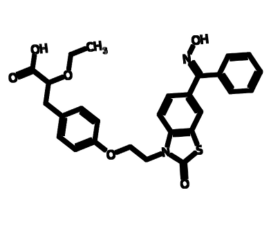 CCOC(Cc1ccc(OCCn2c(=O)sc3cc(C(=NO)c4ccccc4)ccc32)cc1)C(=O)O